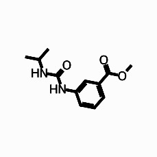 COC(=O)c1cccc(NC(=O)NC(C)C)c1